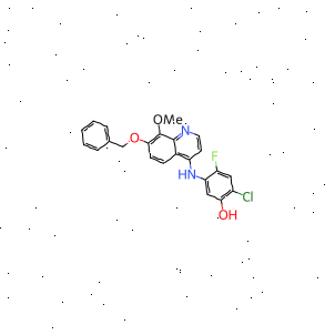 COc1c(OCc2ccccc2)ccc2c(Nc3cc(O)c(Cl)cc3F)ccnc12